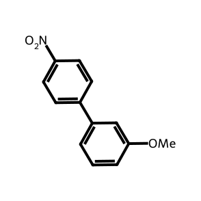 COc1cccc(-c2ccc([N+](=O)[O-])cc2)c1